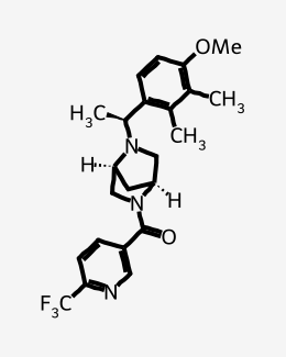 COc1ccc([C@H](C)N2C[C@@H]3C[C@H]2CN3C(=O)c2ccc(C(F)(F)F)nc2)c(C)c1C